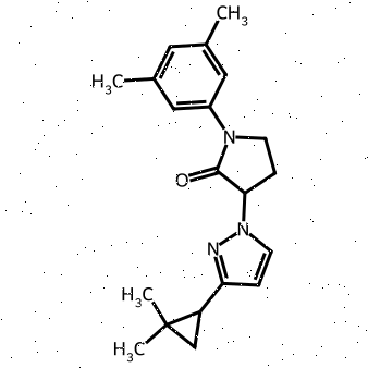 Cc1cc(C)cc(N2CCC(n3ccc(C4CC4(C)C)n3)C2=O)c1